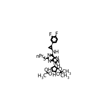 CCCSc1nc(NC2C[C@H]2c2ccc(F)c(F)c2)c2nnn([C@@H]3C[C@H](O[C@H](C)O)[C@H]4OC(C)(C)O[C@H]43)c2n1